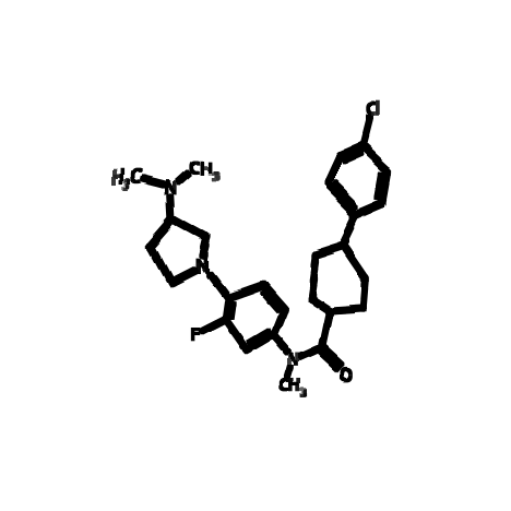 CN(C(=O)C1CCC(c2ccc(Cl)cc2)CC1)c1ccc(N2CCC(N(C)C)C2)c(F)c1